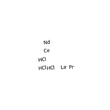 Cl.Cl.Cl.[Ce].[La].[Nd].[Pr]